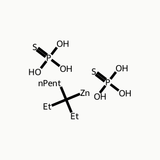 CCCCC[C]([Zn])(CC)CC.OP(O)(O)=S.OP(O)(O)=S